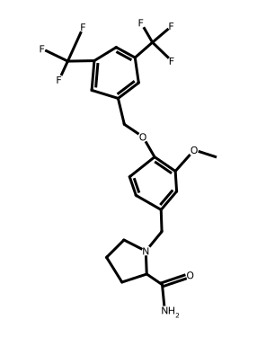 COc1cc(CN2CCCC2C(N)=O)ccc1OCc1cc(C(F)(F)F)cc(C(F)(F)F)c1